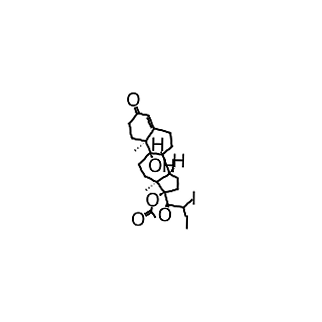 CC(=O)O[C@]1(C(=O)C(I)I)CC[C@H]2[C@@H]3CCC4=CC(=O)CC[C@]4(C)[C@@]3(O)CC[C@@]21C